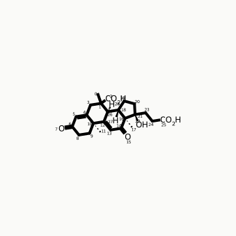 CC1(C(=O)O)CC2=CC(=O)CC[C@]2(C)C2=CC(=O)[C@@]3(C)[C@@H](CC[C@]3(O)CCC(=O)O)[C@@H]21